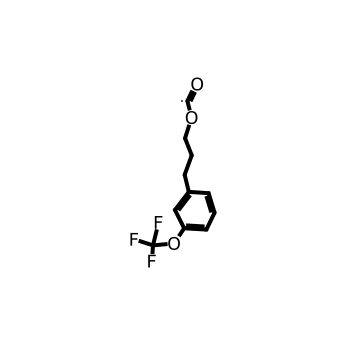 O=[C]OCCCc1cccc(OC(F)(F)F)c1